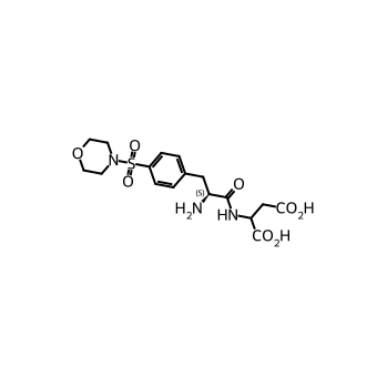 N[C@@H](Cc1ccc(S(=O)(=O)N2CCOCC2)cc1)C(=O)NC(CC(=O)O)C(=O)O